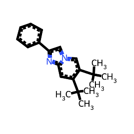 CC(C)(C)c1cc2nc(-c3ccccc3)cn2cc1C(C)(C)C